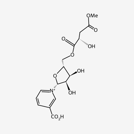 COC(=O)C[C@H](O)C(=O)OC[C@H]1O[C@@H]([n+]2cccc(C(=O)O)c2)[C@H](O)[C@@H]1O